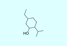 CCC1CCC(C(C)C)C(O)C1